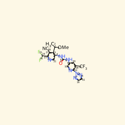 COC(C)c1c(NC(=O)Nc2cnc(-n3nccn3)c(C(F)(F)F)c2)cnc(C(F)F)c1C#N